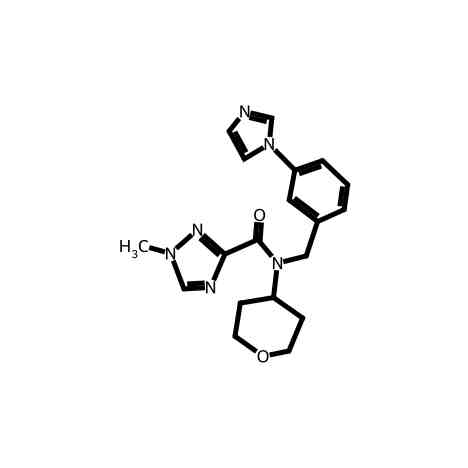 Cn1cnc(C(=O)N(Cc2cccc(-n3ccnc3)c2)C2CCOCC2)n1